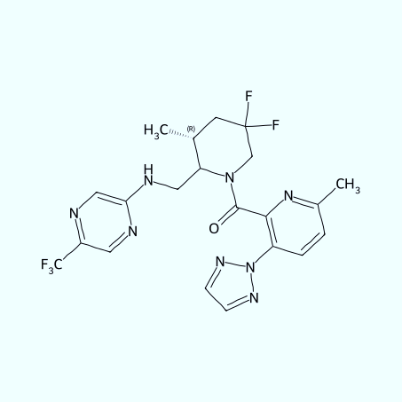 Cc1ccc(-n2nccn2)c(C(=O)N2CC(F)(F)C[C@@H](C)C2CNc2cnc(C(F)(F)F)cn2)n1